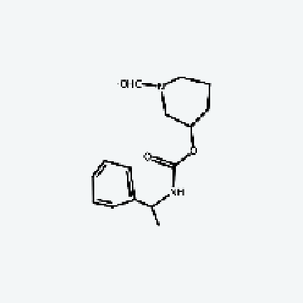 CC(NC(=O)OC1CCCN([C]=O)C1)c1ccccc1